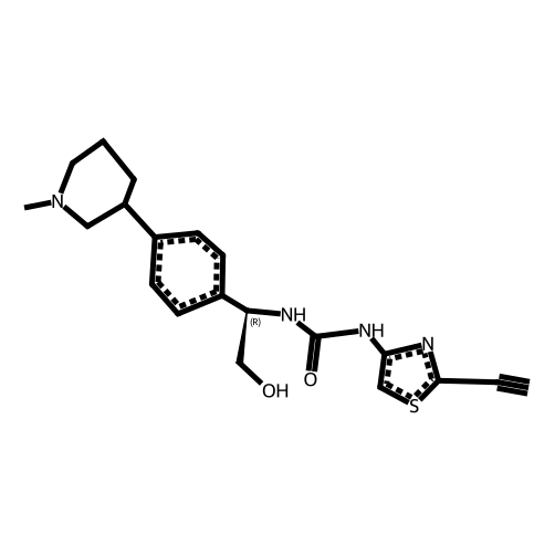 C#Cc1nc(NC(=O)N[C@@H](CO)c2ccc(C3CCCN(C)C3)cc2)cs1